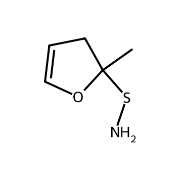 CC1(SN)CC=CO1